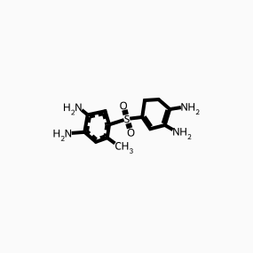 Cc1cc(N)c(N)cc1S(=O)(=O)C1=CC(N)=C(N)CC1